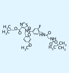 COc1ccc(CN(c2scnc2C(=O)OCC(C)C)S(=O)(=O)c2ccc(CNC(=O)CNC(=O)OC(C)(C)C)c(F)c2)cc1